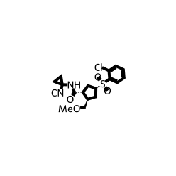 COC[C@@H]1C[C@@H](S(=O)(=O)c2ccccc2Cl)C[C@H]1C(=O)NC1(C#N)CC1